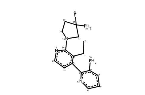 CCc1c(-c2ncccc2P)ccnc1N1CCC(F)(P)C1